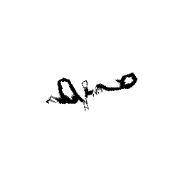 O=C(NCCc1ccccc1)Nc1cccc(F)c1